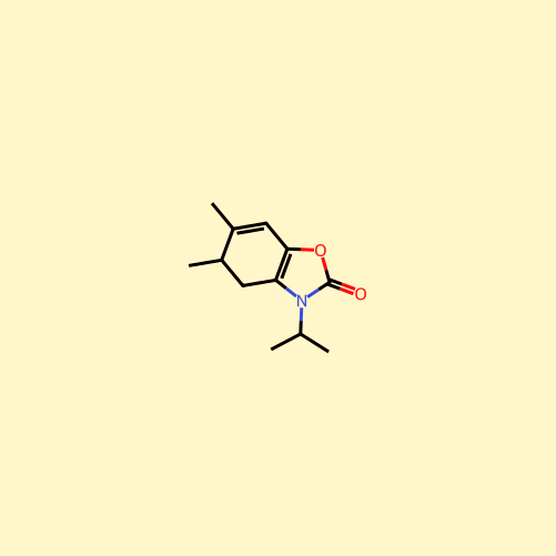 CC1=Cc2oc(=O)n(C(C)C)c2CC1C